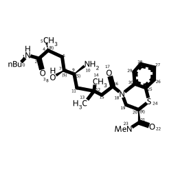 CCCCNC(=O)[C@H](C)C[C@H](O)[C@@H](N)CC(C)(C)CC(=O)N1C[C@H](C(=O)NC)Sc2ccccc21